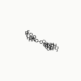 CC(C)C(NC(=O)CC1CCc2cc(-c3ccc(NC(=O)Nc4cccc(C(F)(F)F)c4)cc3)ccc2C1=O)C(=O)O